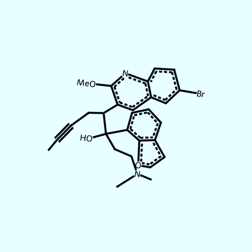 CC#CCC(c1cc2cc(Br)ccc2nc1OC)C(O)(CCN(C)C)c1cccc2ccoc12